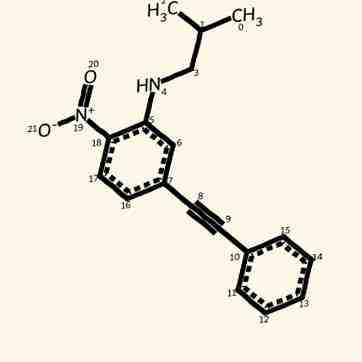 CC(C)CNc1cc(C#Cc2ccccc2)ccc1[N+](=O)[O-]